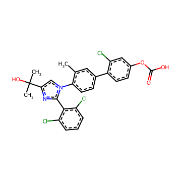 Cc1cc(-c2ccc(OC(=O)O)cc2Cl)ccc1-n1cc(C(C)(C)O)nc1-c1c(Cl)cccc1Cl